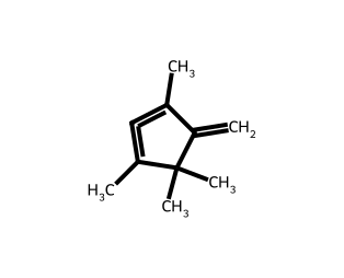 C=C1C(C)=C=C(C)C1(C)C